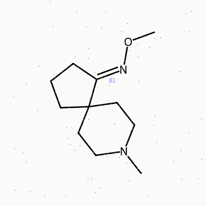 CO/N=C1\CCCC12CCN(C)CC2